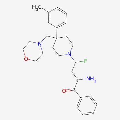 Cc1cccc(C2(CN3CCOCC3)CCN(C(F)CC(N)C(=O)c3ccccc3)CC2)c1